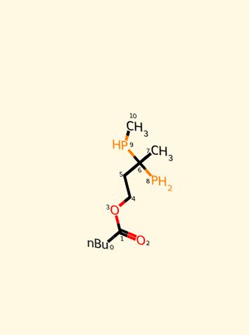 CCCCC(=O)OCCC(C)(P)PC